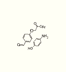 Nc1ccc(O)cc1.O=Cc1ccc(OCC(=O)O)cc1